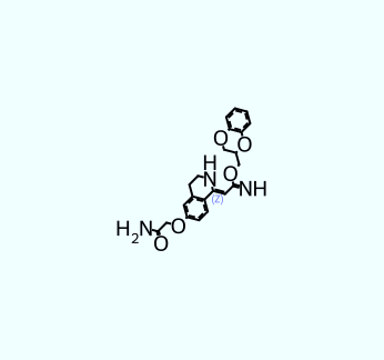 N=C(/C=C1\NCCc2cc(OCC(N)=O)ccc21)OCC1COc2ccccc2O1